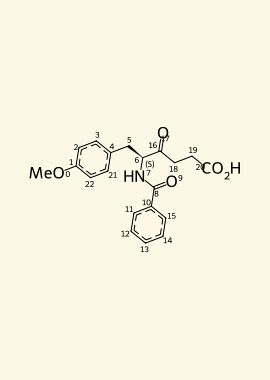 COc1ccc(C[C@H](NC(=O)c2ccccc2)C(=O)CCC(=O)O)cc1